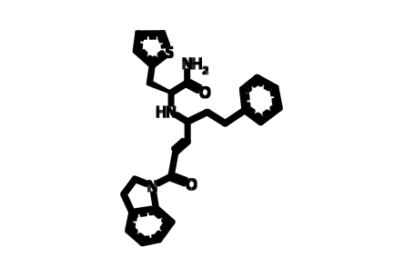 NC(=O)[C@H](Cc1cccs1)NC(C=CC(=O)N1CCc2ccccc21)CCc1ccccc1